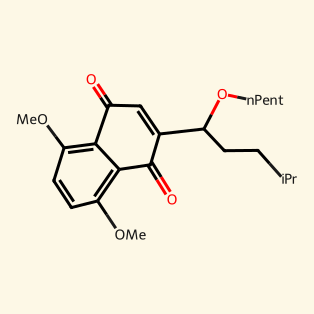 CCCCCOC(CCC(C)C)C1=CC(=O)c2c(OC)ccc(OC)c2C1=O